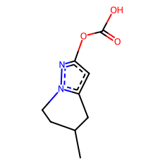 CC1CCn2nc(OC(=O)O)cc2C1